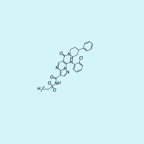 CCS(=O)(=O)NC(=O)c1cnn2c(Nc3ccccc3Cl)c(C(=O)N3CCC(c4ccccc4)CC3)cnc12